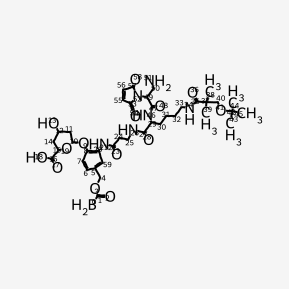 BC(=O)OCc1ccc(OC2CC(O)CC(C(=O)O)O2)c(NC(=O)CCNC(=O)C(CCCCNC(=O)C(C)(C)COC(C)(C)C)NC(=O)C(CN)N2C(=O)C=CC2=O)c1